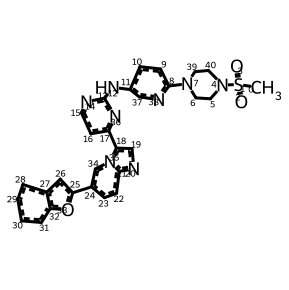 CS(=O)(=O)N1CCN(c2ccc(Nc3nccc(-c4cnc5ccc(-c6cc7ccccc7o6)cn45)n3)cn2)CC1